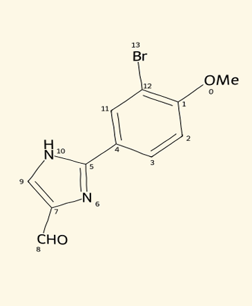 COc1ccc(-c2nc(C=O)c[nH]2)cc1Br